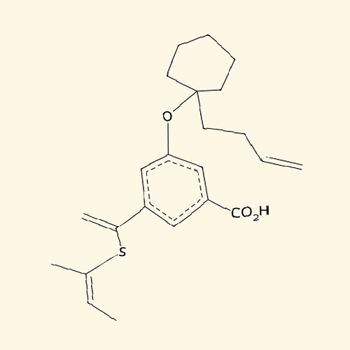 C=CCCC1(Oc2cc(C(=C)S/C(C)=C\C)cc(C(=O)O)c2)CCCCC1